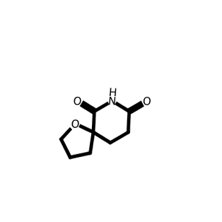 O=C1CCC2(CCCO2)C(=O)N1